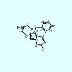 Clc1ccc2c(c1)=CC1(CCNCC1)C=2Cc1ccccc1